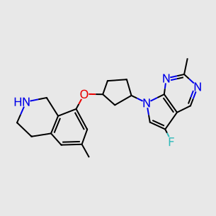 Cc1cc2c(c(OC3CCC(n4cc(F)c5cnc(C)nc54)C3)c1)CNCC2